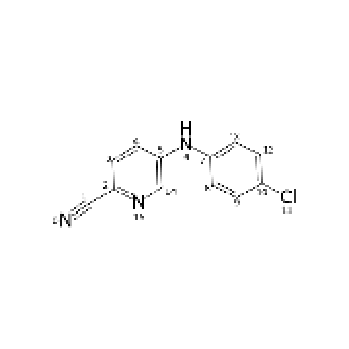 N#Cc1ccc(Nc2ccc(Cl)cc2)cn1